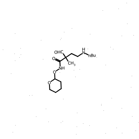 CCCCNCCC(C)(C=O)C(=O)NOC1CCCCO1